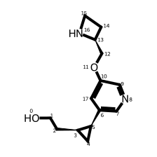 OCC[C@@H]1C[C@@H]1c1cncc(OC[C@@H]2CCN2)c1